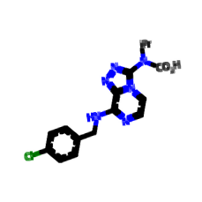 CC(C)N(C(=O)O)c1nnc2c(NCc3ccc(Cl)cc3)nccn12